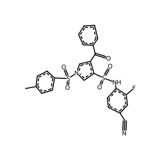 Cc1ccc(S(=O)(=O)n2cc(C(=O)c3ccccc3)c(S(=O)(=O)Nc3ccc(C#N)cc3F)c2)cc1